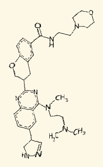 CN(C)CCN(C)c1nc(C2COc3ccc(C(=O)NCCN4CCOCC4)cc3C2)nc2ccc(C3C=NNC3)cc12